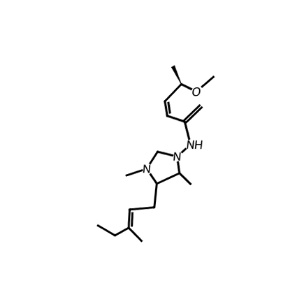 C=C(/C=C\[C@@H](C)OC)NN1CN(C)C(C/C=C(\C)CC)C1C